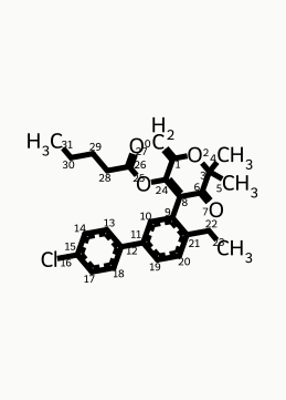 C=C1OC(C)(C)C(=O)C(c2cc(-c3ccc(Cl)cc3)ccc2CC)=C1OC(=O)CCCC